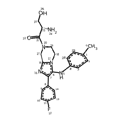 Cc1ccc(Nc2c(-c3ccc(F)cc3)nc3n2CCN(C(=O)[C@@H](N)CO)C3)cc1